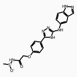 C[S+]([O-])NC(=O)COc1ccc(-c2nnc(Nc3ccc4[nH]ncc4c3)[nH]2)cc1